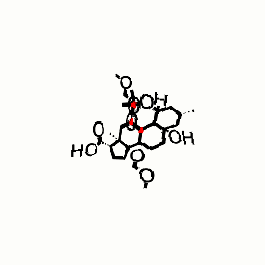 COCO[C@@H]1C[C@]2(C)[C@@H](C(=O)O)CC[C@]2(OCOC)C2CC[C@]3(O)C[C@@H](C)C[C@H]4OC(C)(C)OC[C@]43C21